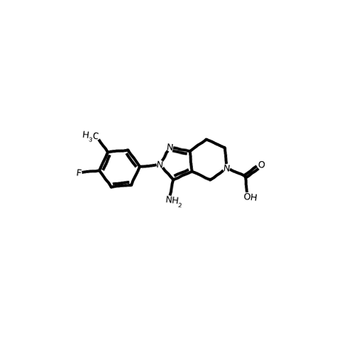 Cc1cc(-n2nc3c(c2N)CN(C(=O)O)CC3)ccc1F